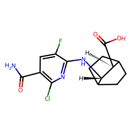 NC(=O)c1cc(F)c(N[C@H]2C3CCC(CC3)[C@@H]2C(=O)O)nc1Cl